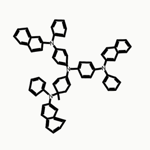 CC1(N(c2ccccc2)c2ccc3ccccc3c2)C=CC(N(c2ccc(N(c3ccccc3)c3ccc4ccccc4c3)cc2)c2ccc(N(c3ccccc3)c3ccc4ccccc4c3)cc2)=CC1